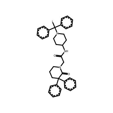 O=C(CN1CCCC(c2ccccc2)(c2ccccc2)C1=O)NC1CCN(C(I)(c2ccccc2)c2ccccc2)CC1